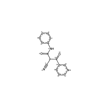 N#CC(C(=O)Nc1ccccc1)C(=O)c1cccnc1